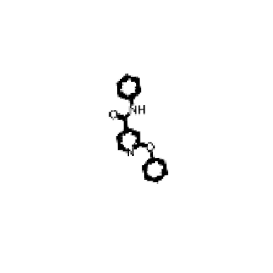 O=C(Nc1ccccc1)c1ccnc(Oc2ccccc2)c1